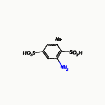 Nc1cc(S(=O)(=O)O)ccc1S(=O)(=O)O.[Na]